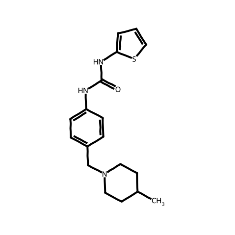 CC1CCN(Cc2ccc(NC(=O)Nc3cccs3)cc2)CC1